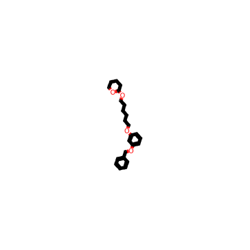 c1ccc(COc2cccc(OCCCCCCOC3CCCCO3)c2)cc1